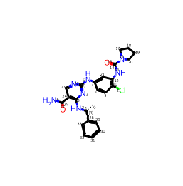 C[C@@H](Nc1nc(Nc2ccc(Cl)c(NC(=O)N3CCCC3)c2)ncc1C(N)=O)c1ccccc1